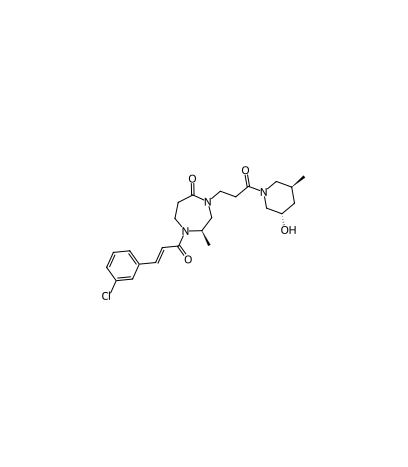 C[C@H]1C[C@H](O)CN(C(=O)CCN2C[C@@H](C)N(C(=O)/C=C/c3cccc(Cl)c3)CCC2=O)C1